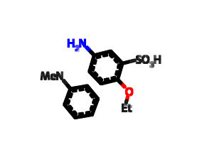 CCOc1ccc(N)cc1S(=O)(=O)O.CNc1ccccc1